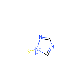 [S-][NH+]1C=NC=N1